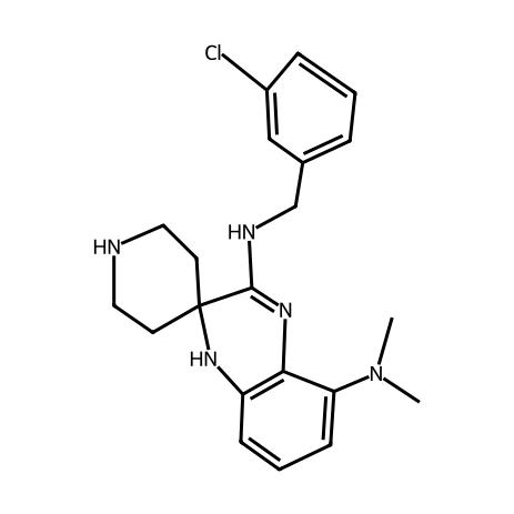 CN(C)c1cccc2c1N=C(NCc1cccc(Cl)c1)C1(CCNCC1)N2